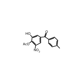 CC(=O)Oc1c(O)cc(C(=O)c2ccc(C)cc2)cc1[N+](=O)[O-]